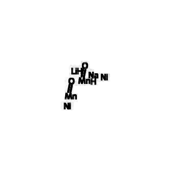 [LiH].[NaH].[Ni].[Ni].[O]=[Mn].[O]=[Mn]